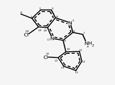 Cc1ccc2nc(CN)c(-c3ccccc3Cl)nc2c1Cl